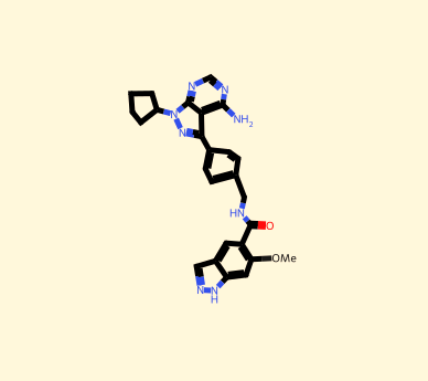 COc1cc2[nH]ncc2cc1C(=O)NCc1ccc(-c2nn(C3CCCC3)c3ncnc(N)c23)cc1